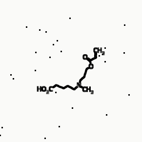 C=CC(=O)OCCCN(C)CCCCC(=O)O